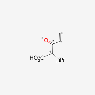 C=CC(=O)C(C(=O)O)C(C)C